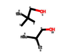 CC(C)(C)C(C)(C)CO.CCCCC(CC)CO